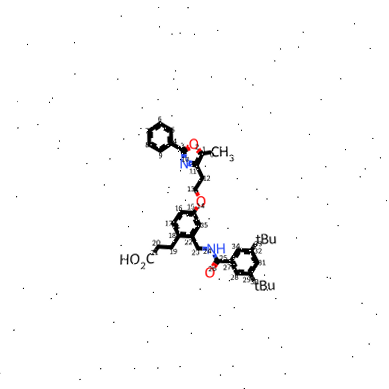 Cc1oc(-c2ccccc2)nc1CCOc1ccc(CCC(=O)O)c(CNC(=O)c2cc(C(C)(C)C)cc(C(C)(C)C)c2)c1